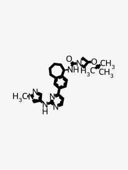 Cn1cc(Nc2nccc(-c3ccc4c(c3)CCCC[C@H]4NC(=O)N3CC(OC(C)(C)C)C3)n2)cn1